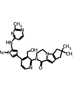 CC(=O)n1cc(-c2ccnc(N3CCn4c(cc5c4CC(C)(C)C5)C3=O)c2CO)cc1Nc1ccnc(C)n1